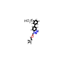 C[Si](C)(C)CCOCn1nnc2cc(-c3cccc(C(=O)O)c3)ccc21